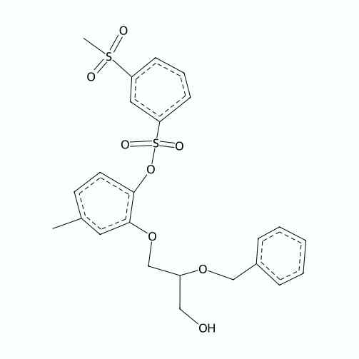 Cc1ccc(OS(=O)(=O)c2cccc(S(C)(=O)=O)c2)c(OCC(CO)OCc2ccccc2)c1